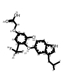 CC(C)Cc1c[nH]c2ccc(Oc3c(Cl)cc(OCC(=O)O)cc3C(F)(F)F)cc12